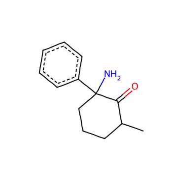 CC1CCCC(N)(c2ccccc2)C1=O